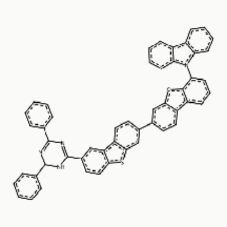 c1ccc(C2=NC(c3ccccc3)NC(c3ccc4sc5cc(-c6ccc7c(c6)oc6c(-n8c9ccccc9c9ccccc98)cccc67)ccc5c4c3)=N2)cc1